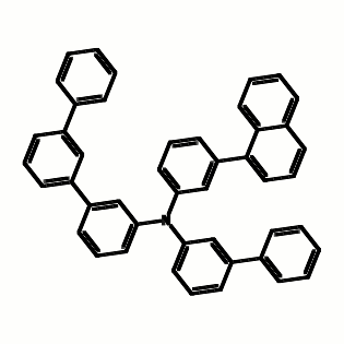 c1ccc(-c2cccc(-c3cccc(N(c4cccc(-c5ccccc5)c4)c4cccc(-c5cccc6ccccc56)c4)c3)c2)cc1